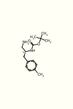 Cc1ccc(C[C@@H](CN)NC(=O)OC(C)(C)C)cc1